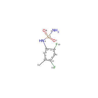 Cc1cc(NS(N)(=O)=O)c(F)cc1F